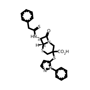 O=C1[C@@H](NC(=S)Cc2ccccc2)[C@H]2SCC(Sc3ccnn3-c3ccccc3)(C(=O)O)CN12